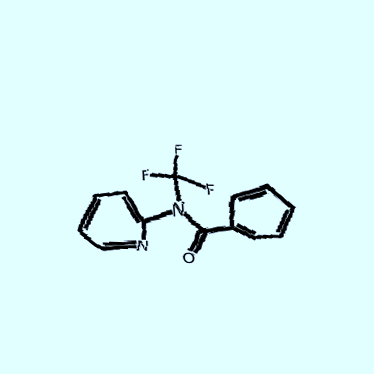 O=C(c1ccccc1)N(c1ccccn1)C(F)(F)F